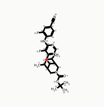 CC1OC(C)C2CN(C(=O)OC(C)(C)C)CC1C2Oc1ncnc(Nc2ccc(C#N)cc2F)c1F